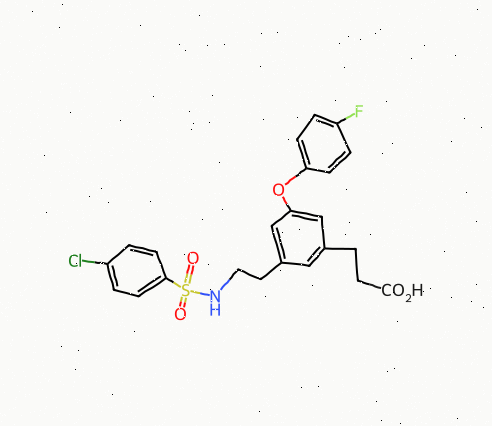 O=C(O)CCc1cc(CCNS(=O)(=O)c2ccc(Cl)cc2)cc(Oc2ccc(F)cc2)c1